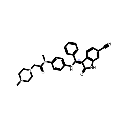 CN1CCN(CC(=O)N(C)c2ccc(N/C(=C3\C(=O)Nc4cc(C#N)ccc43)c3ccccc3)cc2)CC1